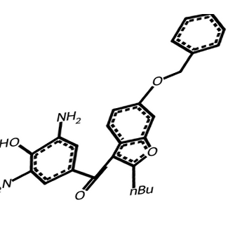 CCCCc1oc2cc(OCc3ccccc3)ccc2c1C(=O)c1cc(N)c(O)c(N)c1